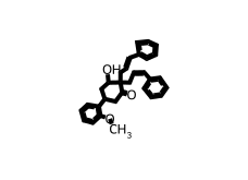 COc1ccccc1C1CC(=O)C(CC=Cc2ccccc2)(CC=Cc2ccccc2)C(O)C1